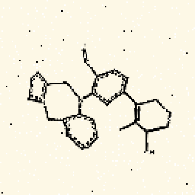 CC1=C(c2ccc(C=O)c(N3Cc4cccn4Cc4ccccc43)c2)CCCC1O